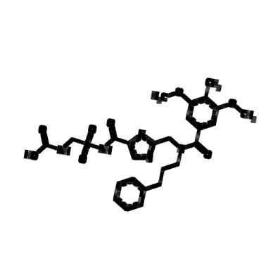 COc1cc(C(=O)N(CCCc2ccccc2)Cc2nc(C(=O)NS(=O)(=O)CNC(=O)O)cs2)cc(OC)c1C